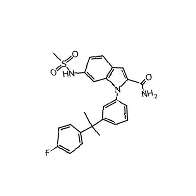 CC(C)(c1ccc(F)cc1)c1cccc(-n2c(C(N)=O)cc3ccc(NS(C)(=O)=O)cc32)c1